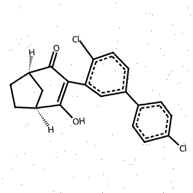 O=C1C(c2cc(-c3ccc(Cl)cc3)ccc2Cl)=C(O)[C@H]2CC[C@@H]1C2